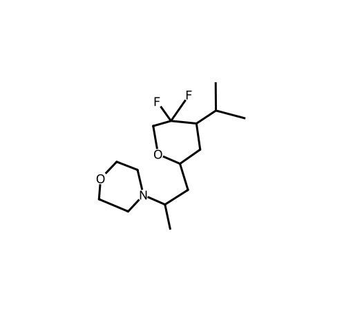 CC(C)C1CC(CC(C)N2CCOCC2)OCC1(F)F